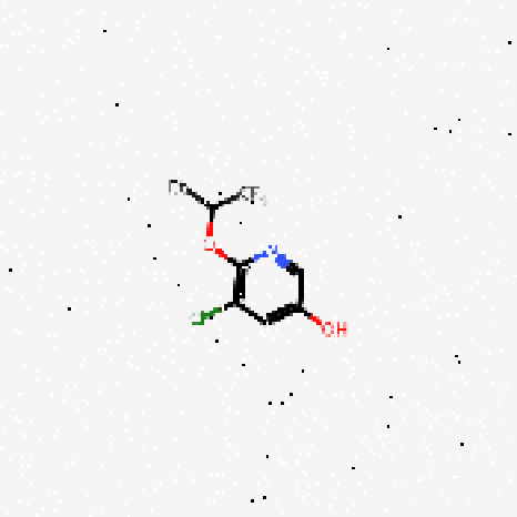 CCC(Oc1ncc(O)cc1Cl)C(F)(F)F